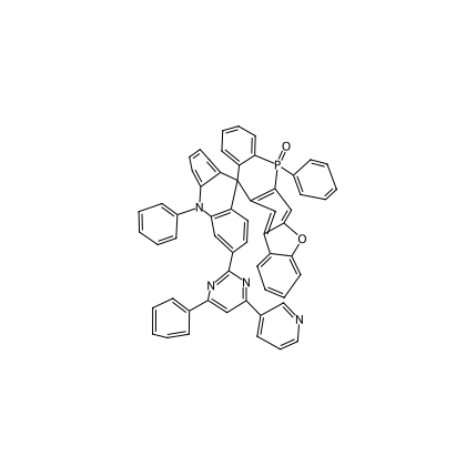 O=P1(c2ccccc2)c2ccccc2C2(c3ccccc3N(c3ccccc3)c3cc(-c4nc(-c5ccccc5)cc(-c5cccnc5)n4)ccc32)c2cc3c(cc21)oc1ccccc13